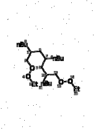 CCCCC(COOCC)CC(CCCC)CC(CCCC)COOCC